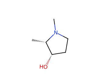 C[C@H]1[C@@H](O)CCN1C